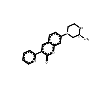 C[C@H]1CN(c2ccc3cc(-c4ccccn4)c(=O)oc3c2)CCN1